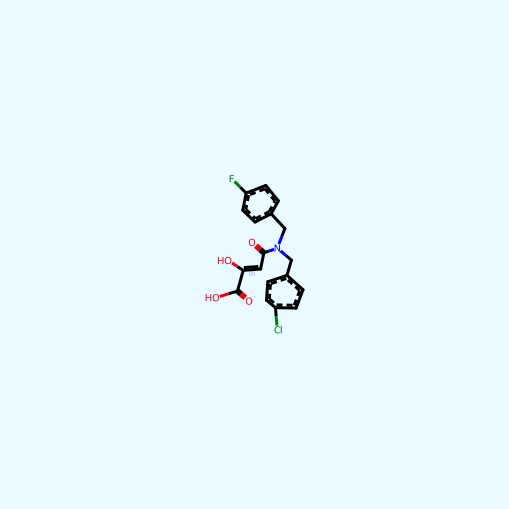 O=C(O)/C(O)=C/C(=O)N(Cc1ccc(F)cc1)Cc1ccc(Cl)cc1